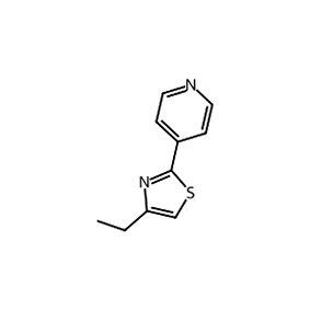 CCc1csc(-c2ccncc2)n1